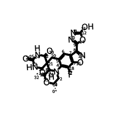 C[C@H]1CN2c3c(cc4c(-c5nnc(O)o5)noc4c3F)CC3(C(=O)NC(=O)NC3=O)[C@@H]2[C@@H](C)O1